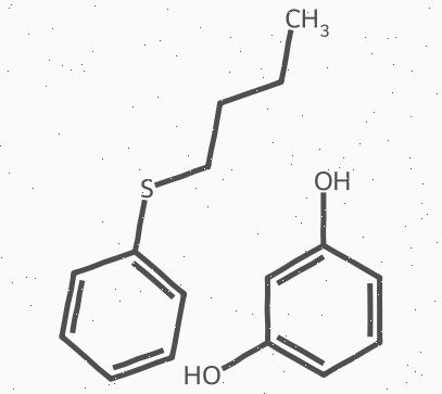 CCCCSc1ccccc1.Oc1cccc(O)c1